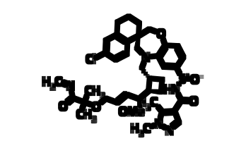 C=NC(=O)C(C)(C)OC/C=C/[C@@H](OC)[C@@H]1CC[C@H]1CN1C[C@@]2(CCCc3cc(Cl)ccc32)COc2ccc([S+]([O-])NC(=O)c3cnn(C)c3C)cc21